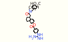 N=C(N)Nc1ccc(C(=O)Oc2ccc3c(c2)CCCC3CC(=O)N(CC(=O)O)Cc2cccc(C(=O)O)c2)cc1